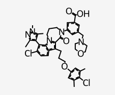 Cc1cc(OCCCc2c3n(c4c(-c5c(C)nn(C)c5C)c(Cl)ccc24)CCCN(c2cc(CN4CCOCC4)cc(C(=O)O)c2)C3=O)cc(C)c1Cl